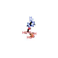 Nc1ncnc2c1ncn2OCC(O)OCP(=O)(O)O